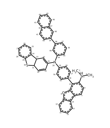 C[SiH](C)c1ccc2c(oc3ccccc32)c1-c1ccc(N(C2=CC3c4ccccc4SC3C=C2)c2cccc(-c3ccc4ccccc4c3)c2)cc1